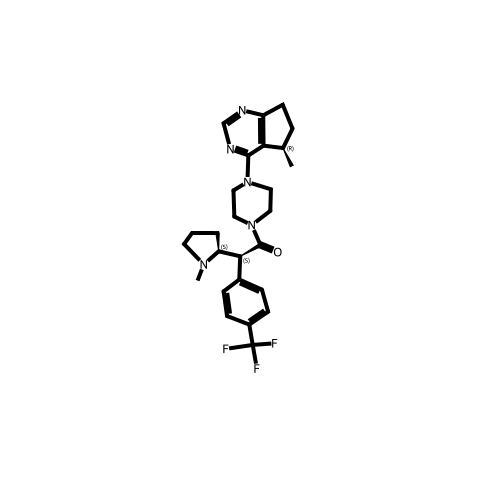 C[C@@H]1CCc2ncnc(N3CCN(C(=O)[C@@H](c4ccc(C(F)(F)F)cc4)[C@@H]4CCCN4C)CC3)c21